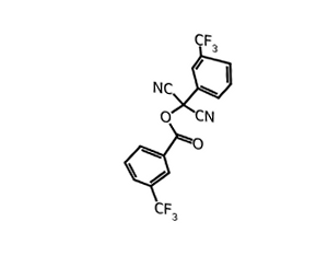 N#CC(C#N)(OC(=O)c1cccc(C(F)(F)F)c1)c1cccc(C(F)(F)F)c1